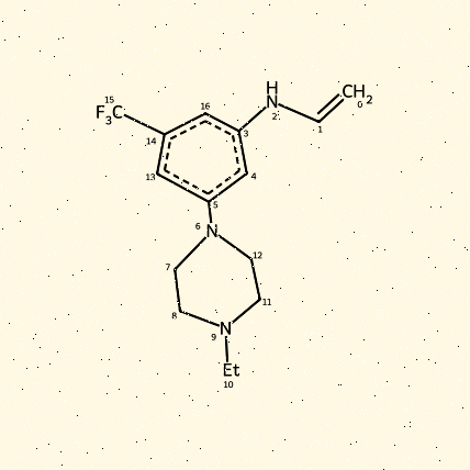 C=CNc1cc(N2CCN(CC)CC2)cc(C(F)(F)F)c1